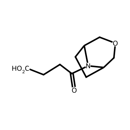 O=C(O)CCC(=O)N1C2CCC1COC2